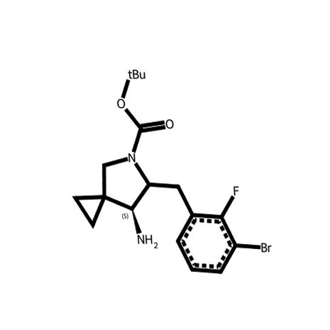 CC(C)(C)OC(=O)N1CC2(CC2)[C@H](N)C1Cc1cccc(Br)c1F